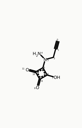 C#CCN(N)c1c(O)c(=O)c1=O